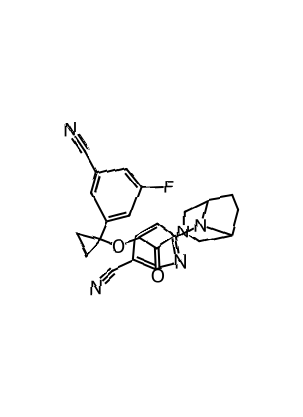 N#Cc1ccc(N2C3CCC2CN(C(=O)COC2(c4cc(F)cc(C#N)c4)CC2)C3)nc1